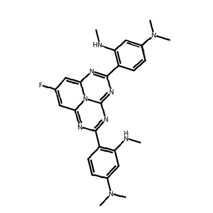 CNc1cc(N(C)C)ccc1C1=NC2=CC(F)=CC3=NC(c4ccc(N(C)C)cc4NC)=NC(=N1)N23